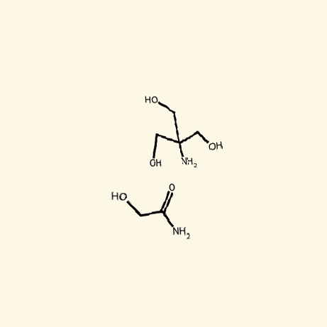 NC(=O)CO.NC(CO)(CO)CO